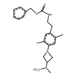 CN(C(=O)O)C1CN(c2cc(F)c(CCNC(=O)OCc3ccccc3)cc2F)C1